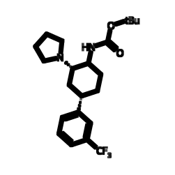 CC(C)(C)OC(=O)NC1CC[C@H](c2cccc(C(F)(F)F)c2)C[C@@H]1N1CCCC1